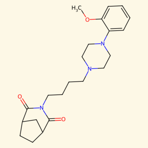 COc1ccccc1N1CCN(CCCCN2C(=O)C3CCC(C3)C2=O)CC1